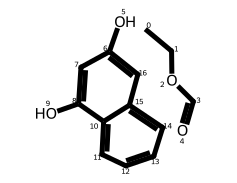 CCOC=O.Oc1cc(O)c2ccccc2c1